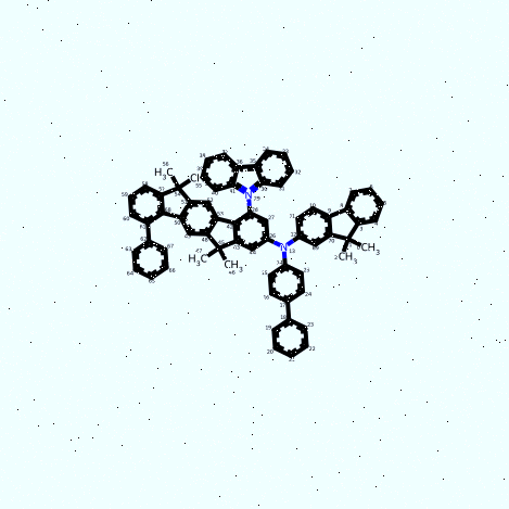 CC1(C)c2ccccc2-c2ccc(N(c3ccc(-c4ccccc4)cc3)c3cc(-n4c5ccccc5c5ccccc54)c4c(c3)C(C)(C)c3cc5c(cc3-4)C(C)(C)c3cccc(-c4ccccc4)c3-5)cc21